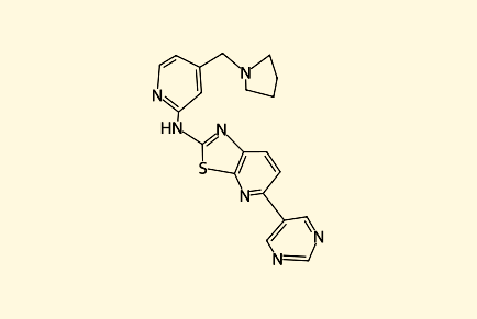 c1ncc(-c2ccc3nc(Nc4cc(CN5CCCC5)ccn4)sc3n2)cn1